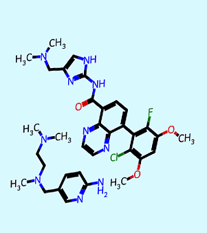 CN(C)CCN(C)Cc1ccc(N)nc1.COc1cc(OC)c(Cl)c(-c2ccc(C(=O)Nc3nc(CN(C)C)c[nH]3)c3nccnc23)c1F